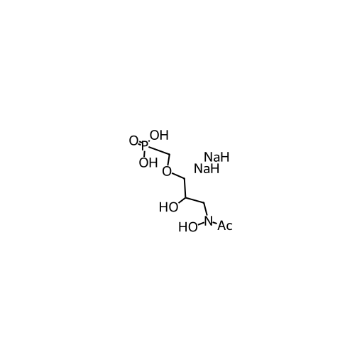 CC(=O)N(O)CC(O)COCP(=O)(O)O.[NaH].[NaH]